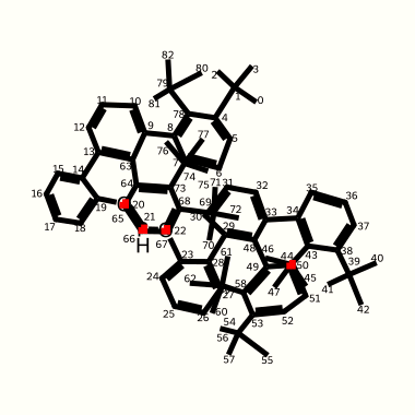 CC(C)(C)c1cccc(-c2cccc(-c3ccccc3OPOc3ccccc3-c3cccc(-c4cccc(C(C)(C)C)c4C(C)(C)C)c3-c3cccc(C(C)(C)C)c3C(C)(C)C)c2-c2cccc(C(C)(C)C)c2C(C)(C)C)c1C(C)(C)C